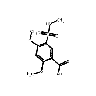 CNS(=O)(=O)c1cc(C(=O)O)c(OC)cc1OC